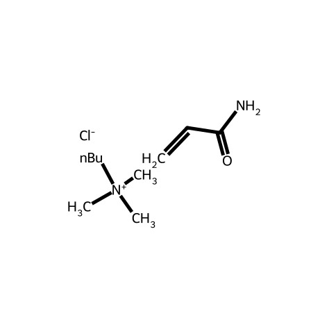 C=CC(N)=O.CCCC[N+](C)(C)C.[Cl-]